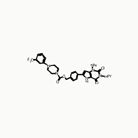 CCCn1c(=O)c2[nH]c(-c3ccc(COC(=O)N4CCN(c5cccc(C(F)(F)F)c5)CC4)cc3)cc2n(CCC)c1=O